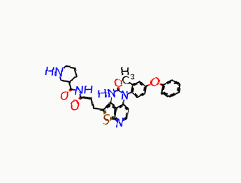 Cc1cc(Oc2ccccc2)ccc1N1C(=O)Nc2c(CCC(=O)NC(=O)C3CCCNC3)sc3nccc1c23